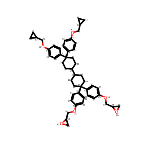 c1cc(C2(c3ccc(OCC4CC4)cc3)CCC(C3CCC(c4ccc(OCC5CO5)cc4)(c4ccc(OCC5CO5)cc4)CC3)CC2)ccc1OCC1CC1